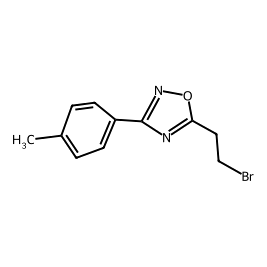 Cc1ccc(-c2noc(CCBr)n2)cc1